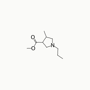 CCCN1CC(C)C(C(=O)OC)C1